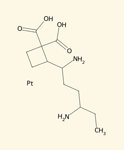 CCC(N)CCC(N)C1CCC1(C(=O)O)C(=O)O.[Pt]